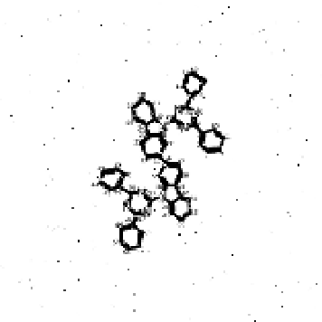 c1ccc(-c2nc(-c3ccccc3)nc(-n3c4ccccc4c4ccc(-c5ccc6c7ccccc7n(-c7nc(-c8ccccc8)nc(-c8ccccc8)n7)c6c5)cc43)n2)cc1